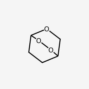 C1CC2OCC1OO2